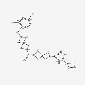 O=C(N1CC2(CC(c3nnc(C4CCC4)[nH]3)C2)C1)N1CC2(CN(Cc3ccc(F)cc3F)C2)C1